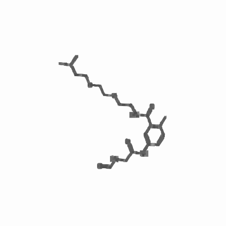 Cc1ccc(NC(=O)CNC=O)cc1C(=O)NCCOCCOCCC(C)C